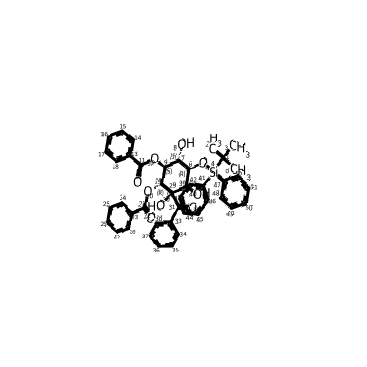 CC(C)(C)[Si](O[C@@H]1[C@@H](O)[C@H](OC(=O)c2ccccc2)[C@@H](OC(=O)c2ccccc2)[C@@](O)(C(=O)c2ccccc2)[C@@H]1O)(c1ccccc1)c1ccccc1